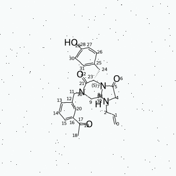 C=CCN1CC(=O)N2[C@@H]1CN(Cc1cccc(C(C)=O)c1)C(=O)[C@@H]2Cc1ccc(O)cc1